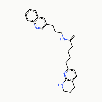 C=C(CCCCc1ccc2c(n1)NCCC2)NCCCc1cnc2ccccc2c1